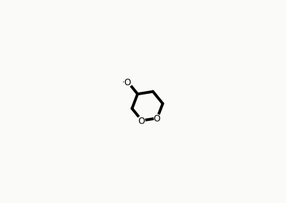 [O]C1CCOOC1